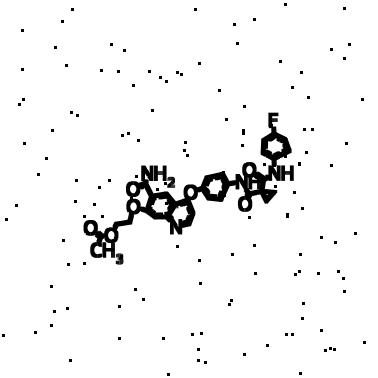 CC(=O)OCCOc1cc2nccc(Oc3ccc(NC(=O)C4(C(=O)Nc5ccc(F)cc5)CC4)cc3)c2cc1C(N)=O